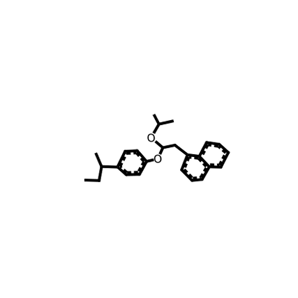 CCC(C)c1ccc(OC(Cc2cccc3ccccc23)OC(C)C)cc1